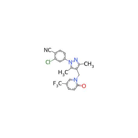 Cc1nn(-c2ccc(C#N)c(Cl)c2)c(C)c1Cn1cc(C(F)(F)F)ccc1=O